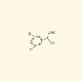 N#CC(C=O)c1cc(Cl)cc(Cl)c1